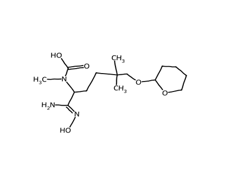 CN(C(=O)O)C(CCC(C)(C)COC1CCCCO1)C(N)=NO